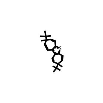 CC(C)(C)C1(C)C=Cc2sc3c(c2C=C1)C=CC(C)(C(C)(C)C)C=C3